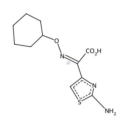 Nc1nc(/C(=N/OC2CCCCC2)C(=O)O)cs1